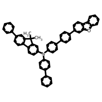 CC1(C)c2cc(-c3ccccc3)ccc2-c2ccc(N(c3ccc(-c4ccccc4)cc3)c3ccc(-c4ccc(-c5ccc6c(c5)oc5ccccc56)cc4)cc3)cc21